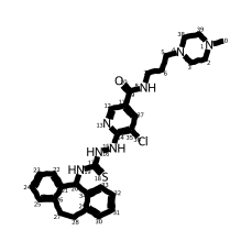 CN1CCN(CCCNC(=O)c2cnc(NNC(=S)NC3c4ccccc4CCc4ccccc43)c(Cl)c2)CC1